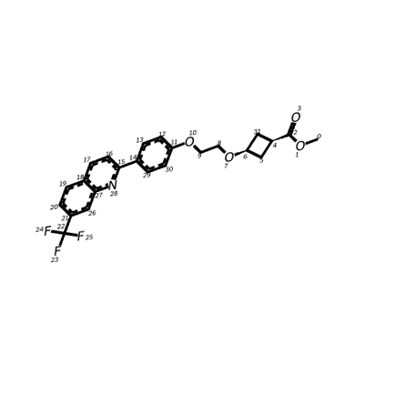 COC(=O)[C@H]1C[C@@H](OCCOc2ccc(-c3ccc4ccc(C(F)(F)F)cc4n3)cc2)C1